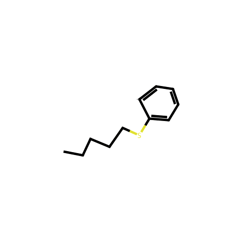 CCCCCSc1[c]cccc1